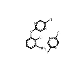 Clc1cnc(I)cn1.Nc1cccc(Sc2cnc(Cl)cn2)c1Cl